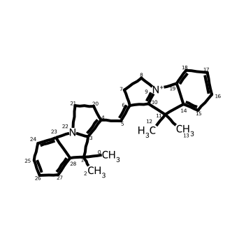 CC1(C)C2=C(C=C3CC[N+]4=C3C(C)(C)c3ccccc34)CCN2c2ccccc21